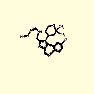 CC1(C)CC(n2c(CN/C=N\N=N)nc3cnc4ccc(Cl)cc4c32)CCO1